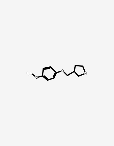 FC(F)(F)Oc1ccc(OCC2CC[N]C2)cc1